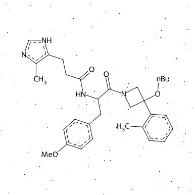 CCCCOC1(c2ccccc2C)CN(C(=O)C(Cc2ccc(OC)cc2)NC(=O)CCc2[nH]cnc2C)C1